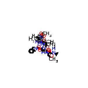 CCCC(NC(=O)[C@@H]1C[C@@H](OC(=O)N2CCc3ccccc3C2)CN1C(=O)[C@@H](NC(=O)N[C@H](CN(C)S(C)(=O)=O)C(C)(C)C)C(C)(C)C)C(=O)C(=O)NC1CC1